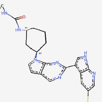 CNC(=O)N[C@@H]1CCC[C@@H](n2ccc3cnc(-c4c[nH]c5ncc(F)cc45)nc32)C1